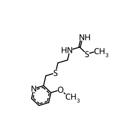 COc1cccnc1CSCCNC(=N)SC